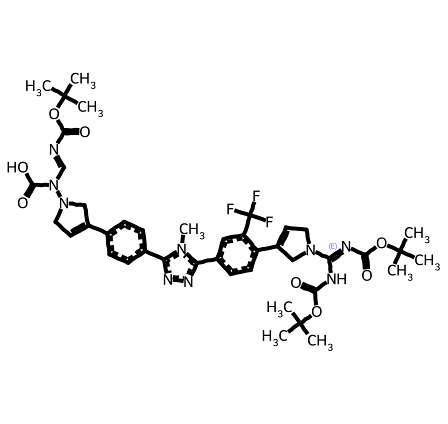 Cn1c(-c2ccc(C3=CCN(N(C=NC(=O)OC(C)(C)C)C(=O)O)C3)cc2)nnc1-c1ccc(C2=CCN(/C(=N/C(=O)OC(C)(C)C)NC(=O)OC(C)(C)C)C2)c(C(F)(F)F)c1